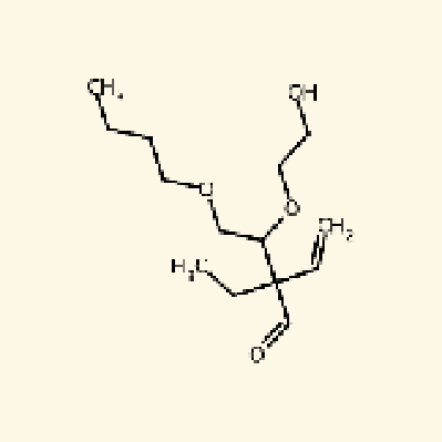 C=CC(C=O)(CC)C(COCCCC)OCCO